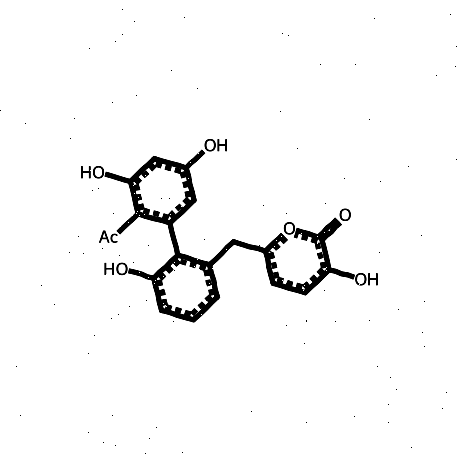 CC(=O)c1c(O)cc(O)cc1-c1c(O)cccc1Cc1ccc(O)c(=O)o1